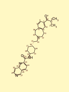 CC(C)C(=O)c1ccc2c(c1)CCN(CC[C@H]1CC[C@H](NC(=O)c3ccc4cnccc4n3)CC1)CC2